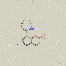 O=c1ccc2cccc(C3=CC=CC=CN3)c2o1